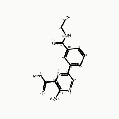 CNC(=O)c1nc(-c2cccc(C(=O)NCC(C)C)c2)cnc1N